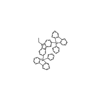 CCn1c2ccc([Si]3(c4ccccc4)c4ccccc4-c4ccccc43)cc2c2cc([Si]3(c4ccccc4)c4ccccc4-c4ccccc43)ccc21